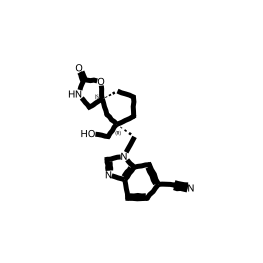 N#Cc1ccc2ncn(C[C@@]3(CO)CCC[C@@]4(CNC(=O)O4)C3)c2c1